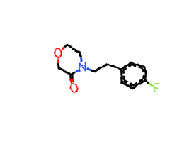 O=C1COCCN1CCc1ccc(F)cc1